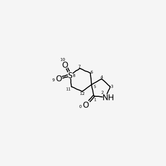 O=C1NCCC12CCS(=O)(=O)CC2